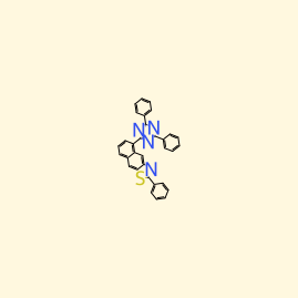 c1ccc(-c2nc(-c3ccccc3)nc(-c3cccc4cc5sc(-c6ccccc6)nc5cc34)n2)cc1